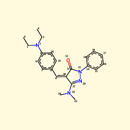 CCN(CC)c1ccc(C=C2C(=O)N(c3ccccc3)N=C2N(C)C)cc1